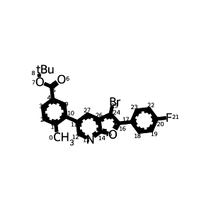 Cc1ccc(C(=O)OC(C)(C)C)cc1-c1cnc2oc(-c3ccc(F)cc3)c(Br)c2c1